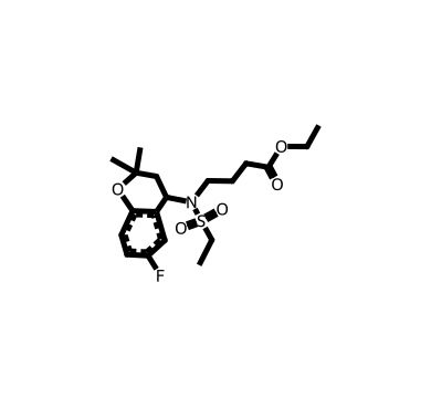 CCOC(=O)CCCN(C1CC(C)(C)Oc2ccc(F)cc21)S(=O)(=O)CC